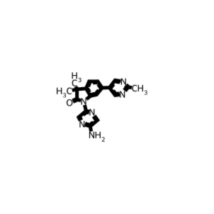 Cc1ncc(-c2ccc3c(c2)N(c2cnc(N)cn2)C(=O)C3(C)C)cn1